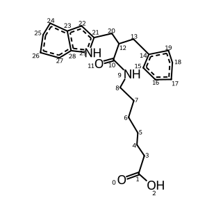 O=C(O)CCCCCCNC(=O)C(Cc1ccccc1)Cc1cc2ccccc2[nH]1